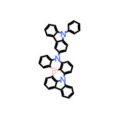 c1ccc(-n2c3ccccc3c3cc(N4c5ccccc5B5c6c4cccc6-n4c6ccccc6c6cccc5c64)ccc32)cc1